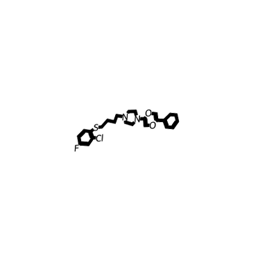 Fc1ccc(SCCCCN2CCN(C3=COC(C4=CC=CCC4)=CO3)CC2)c(Cl)c1